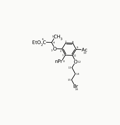 CCCc1c(OC(C)C(=O)OCC)ccc(C(C)=O)c1OCCCBr